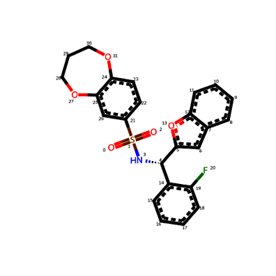 O=S(=O)(N[C@H](c1cc2ccccc2o1)c1ccccc1F)c1ccc2c(c1)OCCCO2